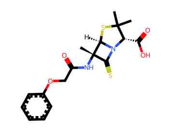 CC1(C)S[C@H]2N(C(=S)[C@]2(C)NC(=O)COc2ccccc2)[C@H]1C(=O)O